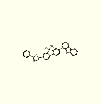 CC1(C)c2cc(-c3nnc(-c4ccccc4)o3)ccc2-c2ccc(-c3cccc4c3sc3ccccc34)cc21